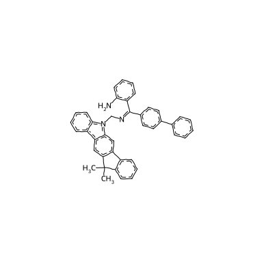 CC1(C)c2ccccc2-c2cc3c(cc21)c1ccccc1n3C/N=C(/c1ccc(-c2ccccc2)cc1)c1ccccc1N